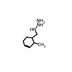 CC1C=CCCC1CNNN